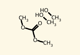 CO.CO.COC(=O)OC